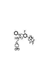 O=C(NCCN1CCS(=O)(=O)CC1)N(Cc1ccc(-c2nnc(C(F)(F)F)o2)cc1F)c1ccccc1